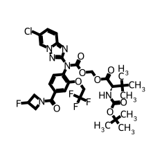 CC(C)(C)OC(=O)N[C@H](C(=O)OCOC(=O)N(c1nc2ccc(Cl)cn2n1)c1ccc(C(=O)N2CC(F)C2)cc1OCC(F)(F)F)C(C)(C)C